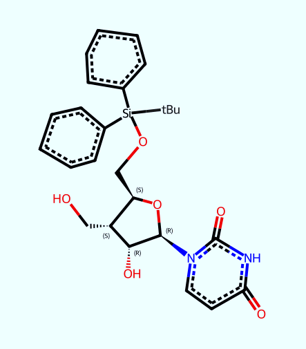 CC(C)(C)[Si](OC[C@H]1O[C@@H](n2ccc(=O)[nH]c2=O)[C@H](O)[C@@H]1CO)(c1ccccc1)c1ccccc1